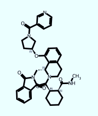 CNC(=O)[C@H]1CCCC[C@H]1C(=O)N1CCc2cccc(O[C@H]3CCN(C(=O)c4cccnc4)C3)c2[C@H]1CN1C(=O)c2ccccc2C1=O